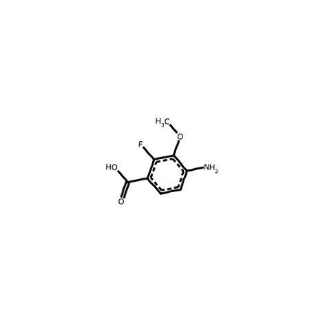 COc1c(N)ccc(C(=O)O)c1F